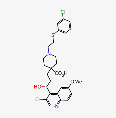 COc1ccc2ncc(Cl)c([C@@H](O)CCC3(C(=O)O)CCN(CCSc4cccc(Cl)c4)CC3)c2c1